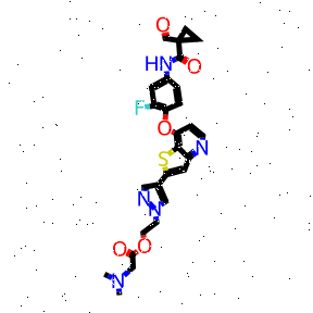 CN(C)CC(=O)OCCn1cc(-c2cc3nccc(Oc4ccc(NC(=O)C5(C=O)CC5)cc4F)c3s2)cn1